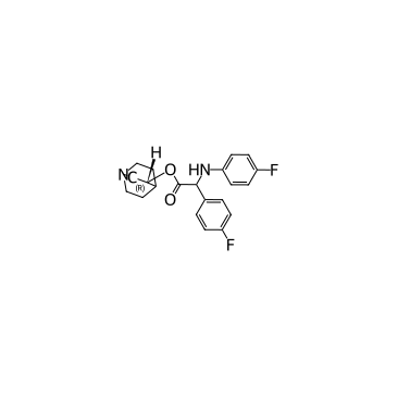 O=C(O[C@H]1CN2CCC1CC2)C(Nc1ccc(F)cc1)c1ccc(F)cc1